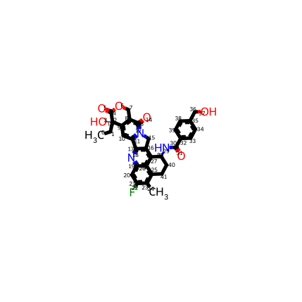 CC[C@@]1(O)C(=O)OCc2c1cc1n(c2=O)Cc2c-1nc1cc(F)c(C)c3c1c2[C@@H](NC(=O)c1ccc(CO)cc1)CC3